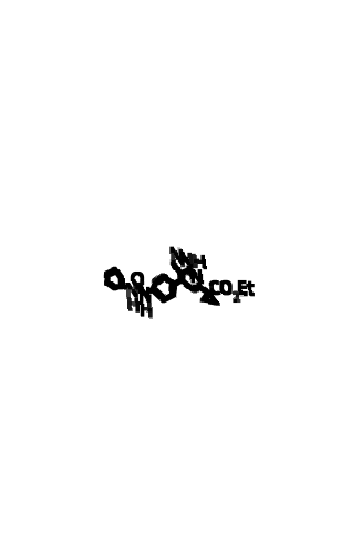 CCOC(=O)C1(c2cc(-c3ccc(NC(=O)Nc4ccccc4)cc3)c3cn[nH]c3n2)CC1